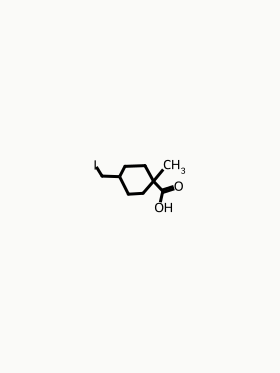 CC1(C(=O)O)CCC(CI)CC1